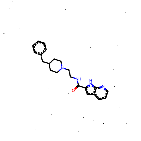 O=C(NCCN1CCC(Cc2ccccc2)CC1)c1cc2cccnc2[nH]1